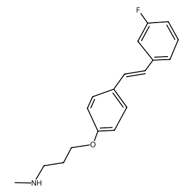 CNCCCOc1ccc(/C=C/c2cccc(F)c2)cc1